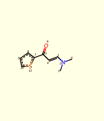 CN(C)/C=C/C(=O)c1cccs1